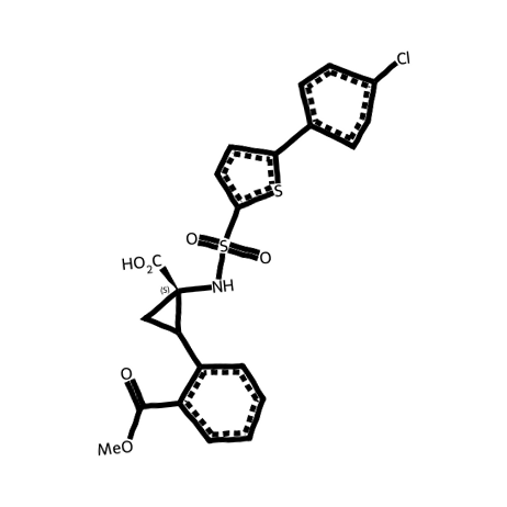 COC(=O)c1ccccc1C1C[C@@]1(NS(=O)(=O)c1ccc(-c2ccc(Cl)cc2)s1)C(=O)O